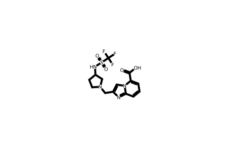 O=C(O)c1cccc2nc(CN3CCC(NS(=O)(=O)C(F)(F)F)C3)cn12